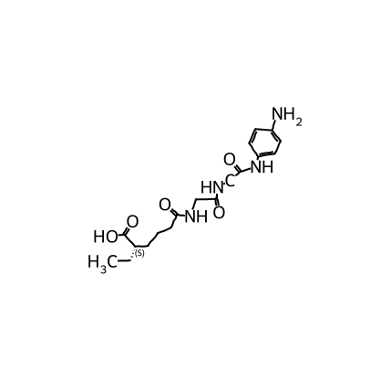 CC[C@@H](CCCC(=O)NCC(=O)NCC(=O)Nc1ccc(N)cc1)C(=O)O